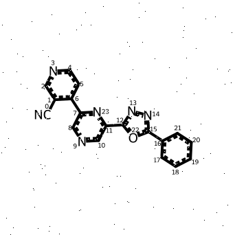 N#Cc1cnccc1-c1cncc(-c2nnc(-c3ccccc3)o2)n1